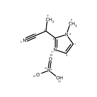 CC(C#N)c1nccn1C.O=[N+]([O-])O